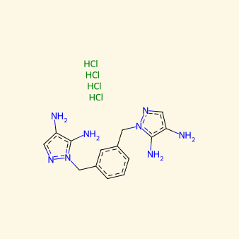 Cl.Cl.Cl.Cl.Nc1cnn(Cc2cccc(Cn3ncc(N)c3N)c2)c1N